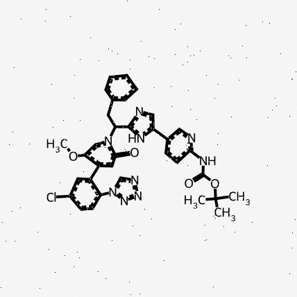 COc1cn(C(Cc2ccccc2)c2ncc(-c3ccc(NC(=O)OC(C)(C)C)nc3)[nH]2)c(=O)cc1-c1cc(Cl)ccc1-n1cnnn1